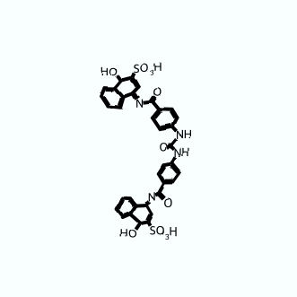 O=C(Nc1ccc(C(=O)N=C2C=C(S(=O)(=O)O)C(O)c3ccccc32)cc1)Nc1ccc(C(=O)N=C2C=C(S(=O)(=O)O)C(O)c3ccccc32)cc1